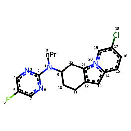 CCCN(c1ncc(F)cn1)C1CCc2cc3ccc(Cl)cn3c2C1